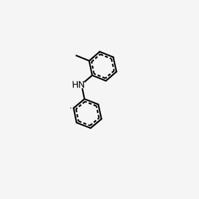 Cc1ccccc1Nc1[c]cccc1